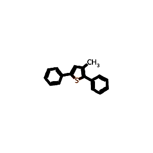 Cc1cc(-c2ccccc2)sc1-c1ccccc1